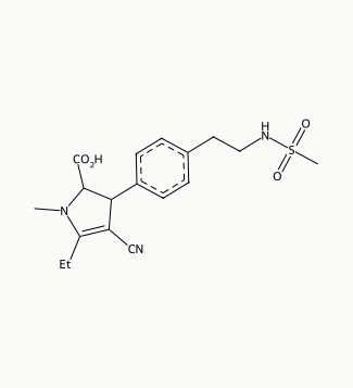 CCC1=C(C#N)C(c2ccc(CCNS(C)(=O)=O)cc2)C(C(=O)O)N1C